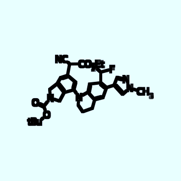 CCOC(=O)C(C#N)c1cc2c(c(N3CCCc4cc(-c5cnn(C)c5)c(C(F)F)cc43)c1)CN(C(=O)OC(C)(C)C)C2